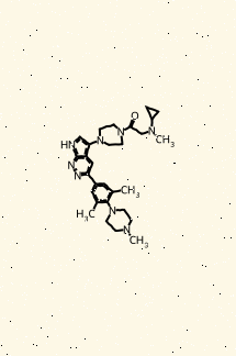 Cc1cc(-c2cc3c(N4CCN(C(=O)CN(C)C5CC5)CC4)c[nH]c3nn2)cc(C)c1N1CCN(C)CC1